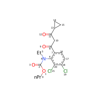 CCCOC(=O)N(CC)c1c(C(=O)CC(=O)C2CC2)ccc(Cl)c1Cl